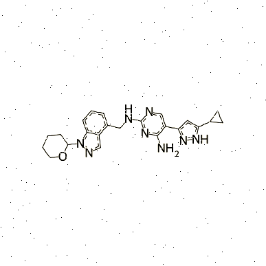 Nc1nc(NCc2cccc3c2cnn3C2CCCCO2)ncc1-c1cc(C2CC2)[nH]n1